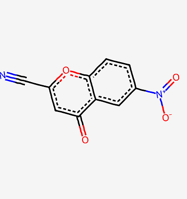 N#Cc1cc(=O)c2cc([N+](=O)[O-])ccc2o1